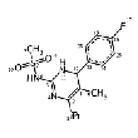 CC1=C(C(C)C)N=C(NS(C)(=O)=O)NC1c1ccc(F)cc1